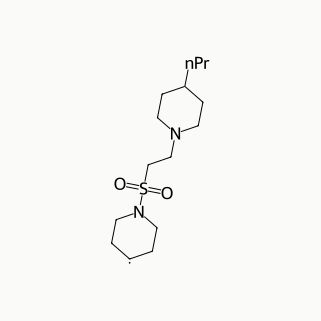 CCCC1CCN(CCS(=O)(=O)N2CC[CH]CC2)CC1